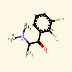 CC(C(=O)c1cccc(F)c1F)N(C)C